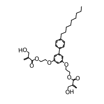 C=C(CO)C(=O)OCCOc1cc(OCCOC(=O)C(=C)CO)cc(-c2ccc(CCCCCCCCC)cc2)c1